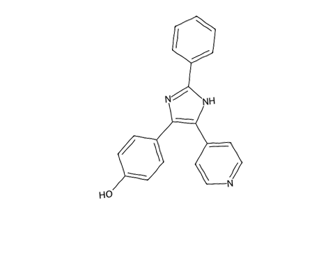 Oc1ccc(-c2nc(-c3ccccc3)[nH]c2-c2ccncc2)cc1